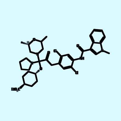 CCOC(=O)[C@H]1CC[C@H](OC(C(=O)Cc2cc(Cl)c(NC(=O)c3cn(C)c4ccccc34)cc2Cl)(N2CCCC2)N2CC(C)O[C@@H](C)C2)CC1